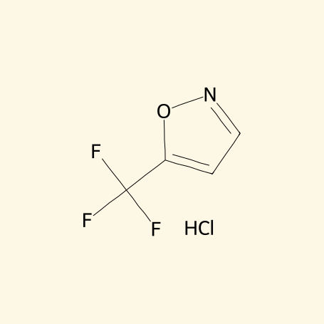 Cl.FC(F)(F)c1ccno1